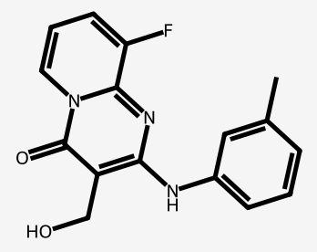 Cc1cccc(Nc2nc3c(F)cccn3c(=O)c2CO)c1